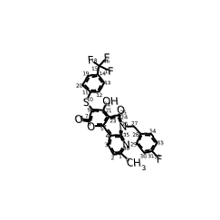 Cc1ccc2c3oc(=O)c(Sc4ccc(C(F)(F)F)cc4)c(O)c3c(=O)n(Cc3ccc(F)cc3)c2n1